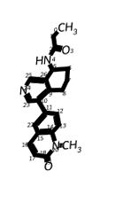 CCC(=O)NC1CCCc2c(-c3ccc4c(ccc(=O)n4C)c3)cncc21